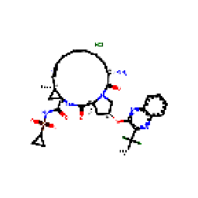 CC(F)(F)c1nc2ccccc2nc1O[C@@H]1C[C@H]2C(=O)N[C@]3(C(=O)NS(=O)(=O)C4CC4)C[C@H]3/C=C\CCCCC[C@H](N)C(=O)N2C1.Cl